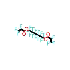 O=C(OC(F)(F)C(F)(F)C(F)(F)C(F)(F)C(F)(F)C(F)(F)OC(=O)C(F)=C(F)F)C(F)=C(F)F